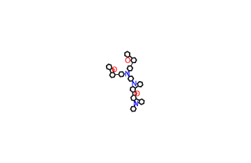 c1ccc(-n2c3ccccc3c3c4oc5c(ccc6c5c5ccccc5n6-c5ccc(N(c6ccc(-c7cccc8c7oc7ccccc78)cc6)c6ccc(-c7cccc8c7oc7ccccc78)cc6)cc5)c4ccc32)cc1